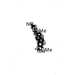 COCC1(O[Si](C)(C)C(C)(C)C)CC[C@@]2(C)[C@H](CC[C@@H]3[C@@H]2CC[C@]2(C)C(C(C)(Cn4cc(C#N)cn4)OC)CC[C@@H]32)C1